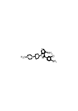 CN1CCN(C2CCC(n3nc(-c4ccc(N)c(Cl)c4)c4c(N)cncc43)CC2)CC1